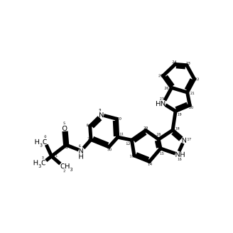 CC(C)(C)C(=O)Nc1cncc(-c2ccc3[nH]nc(-c4cc5ccccc5[nH]4)c3c2)c1